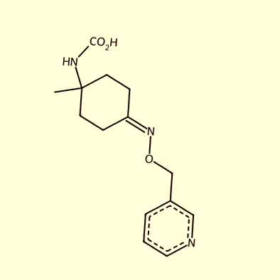 CC1(NC(=O)O)CCC(=NOCc2cccnc2)CC1